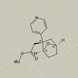 CC(C)(C)OC(=O)C[C@@]1(c2ccncc2)C[C@H]2CC[C@@H]1O2